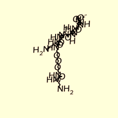 CN[C@@H](CCCCN)C(=O)NCCCOCCOCCOCCCNC(=O)[C@H](CCCCN)NC(=O)c1cc(NC(=O)c2cc(NC(=O)c3cc([N+](=O)[O-])n[nH]3)n[nH]2)n[nH]1